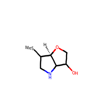 CSC1CNC2C(O)CO[C@H]12